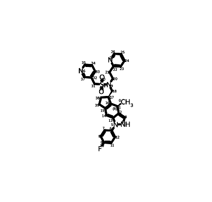 C[C@H]1C2=CNN(c3ccc(F)cc3)C2=CC2=C1[C@H](CN(CCc1ccccn1)S(=O)(=O)Cc1cccnc1)CC2